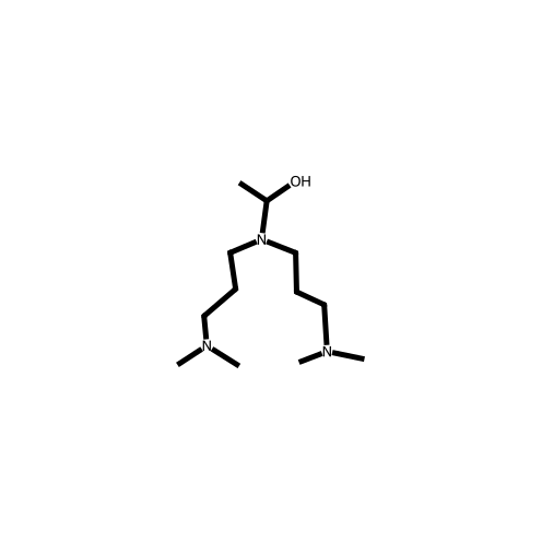 CC(O)N(CCCN(C)C)CCCN(C)C